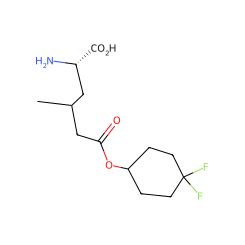 CC(CC(=O)OC1CCC(F)(F)CC1)C[C@H](N)C(=O)O